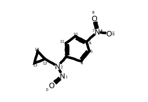 O=NN(c1ccc([N+](=O)[O-])cc1)C1CC1